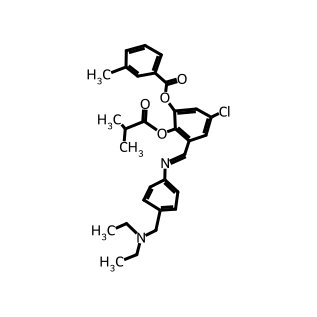 CCN(CC)Cc1ccc(N=Cc2cc(Cl)cc(OC(=O)c3cccc(C)c3)c2OC(=O)C(C)C)cc1